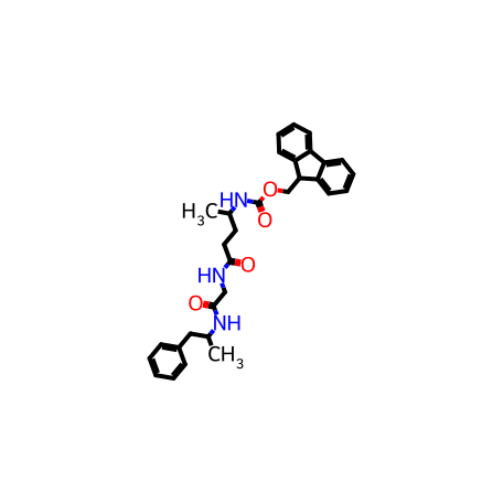 CC(Cc1ccccc1)NC(=O)CNC(=O)CCC(C)NC(=O)OCC1c2ccccc2-c2ccccc21